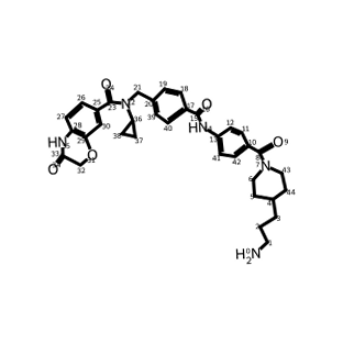 NCCCC1CCN(C(=O)c2ccc(NC(=O)c3ccc(CN(C(=O)c4ccc5c(c4)OCC(=O)N5)C4CC4)cc3)cc2)CC1